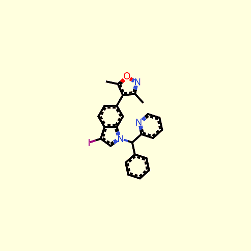 Cc1noc(C)c1-c1ccc2c(I)cn(C(c3ccccc3)c3ccccn3)c2c1